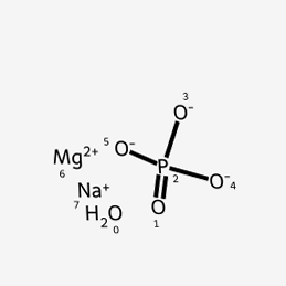 O.O=P([O-])([O-])[O-].[Mg+2].[Na+]